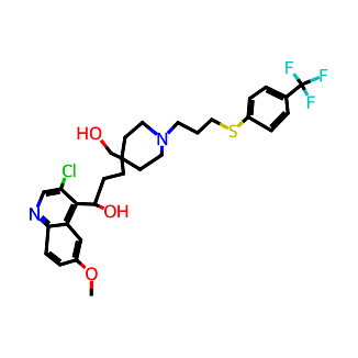 COc1ccc2ncc(Cl)c(C(O)CCC3(CO)CCN(CCCSc4ccc(C(F)(F)F)cc4)CC3)c2c1